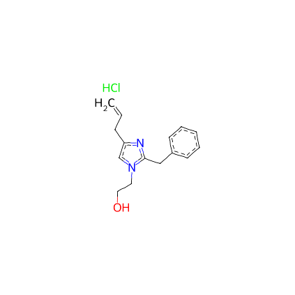 C=CCc1cn(CCO)c(Cc2ccccc2)n1.Cl